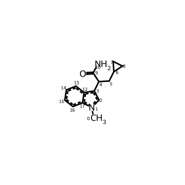 Cn1cc(C(CC2CC2)C(N)=O)c2ccccc21